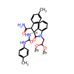 Cc1ccc(NC(=O)N[C@@]2(C(C(N)=O)c3ccc(C)cc3)C(=O)N(CC(OC(C)C)OC(C)C)c3ccccc32)cc1